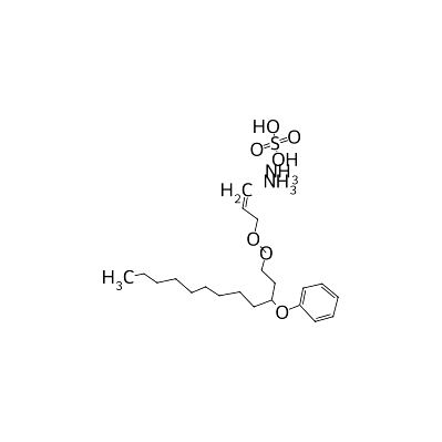 C=CCOOCCC(CCCCCCCCC)Oc1ccccc1.N.N.O=S(=O)(O)O